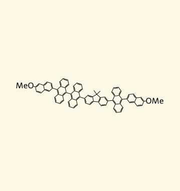 COc1ccc2cc(-c3c4ccccc4c(-c4ccc5c(c4)C(C)(C)c4cc(-c6c7ccccc7c(-c7c8ccccc8c(-c8ccc9cc(OC)ccc9c8)c8ccccc78)c7ccccc67)ccc4-5)c4ccccc34)ccc2c1